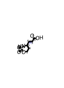 O=C(O)/C=C/C1CCOS(=O)(=O)N1